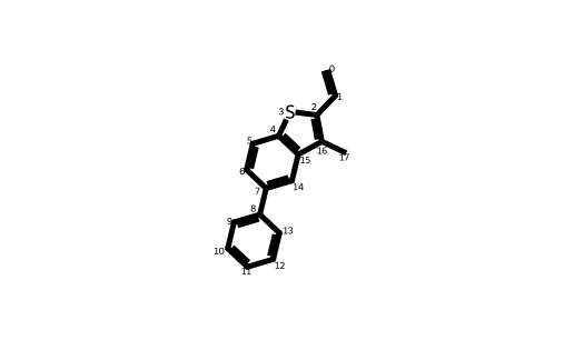 C=Cc1sc2ccc(-c3ccccc3)cc2c1C